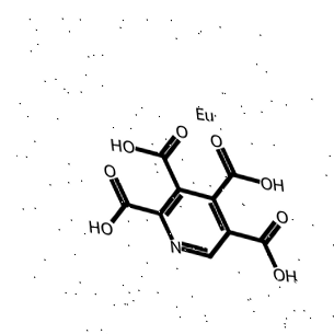 O=C(O)c1cnc(C(=O)O)c(C(=O)O)c1C(=O)O.[Eu]